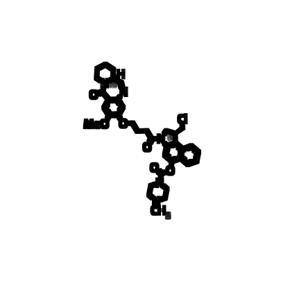 COc1cc2c(cc1OCCCC(=O)N1C[C@@H](CCl)c3c1cc(OC(=O)N1CCN(C)CC1)c1ccccc31)N=C[C@@H]1CCCCN1C2=O